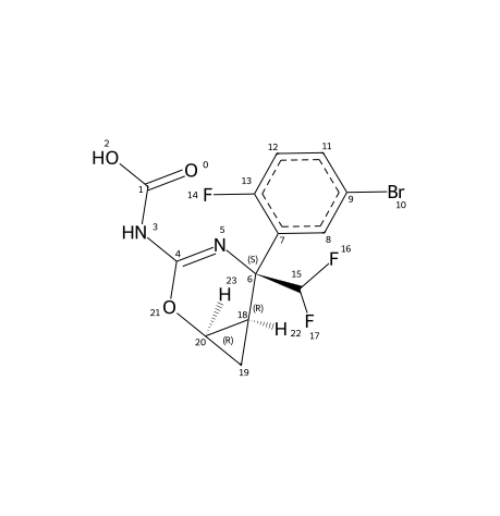 O=C(O)NC1=N[C@@](c2cc(Br)ccc2F)(C(F)F)[C@H]2C[C@H]2O1